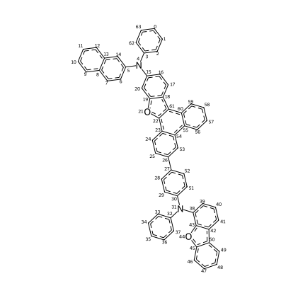 c1ccc(N(c2ccc3ccccc3c2)c2ccc3c(c2)oc2c4ccc(-c5ccc(N(c6ccccc6)c6cccc7c6oc6ccccc67)cc5)cc4c4ccccc4c32)cc1